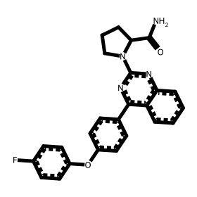 NC(=O)C1CCCN1c1nc(-c2ccc(Oc3ccc(F)cc3)cc2)c2ccccc2n1